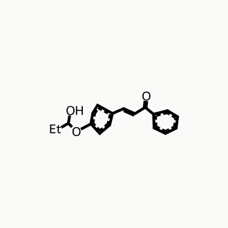 CCC(O)Oc1ccc(C=CC(=O)c2ccccc2)cc1